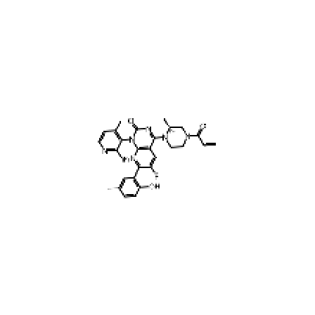 C=CC(=O)N1CCN(c2nc(=O)n(-c3c(C)ccnc3C(C)C)c3nc(-c4cc(C)ccc4O)c(F)cc23)[C@@H](C)C1